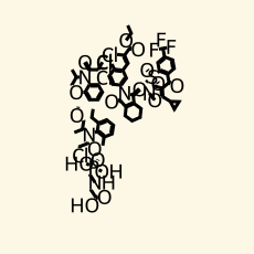 CC1COc2ccccc2N1C(=O)C(Cl)Cl.CCOC(=O)/C(Cl)=C/c1cc(N2C(=O)C3=C(CCCC3)C2=O)ccc1Cl.CCc1cccc(C)c1N(C(=O)CCl)C(C)COC.CS(=O)(=O)c1cc(C(F)(F)F)ccc1C(=O)c1cnoc1C1CC1.O=C(O)CNCP(=O)(O)O